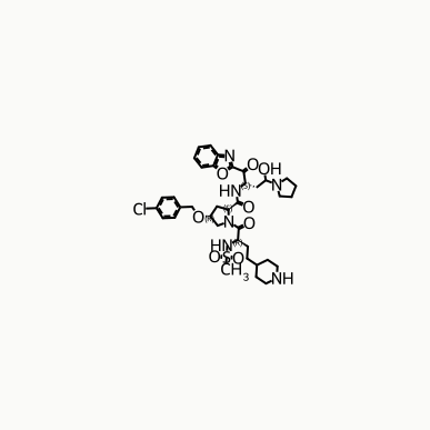 CS(=O)(=O)N[C@H](CCC1CCNCC1)C(=O)N1C[C@H](OCc2ccc(Cl)cc2)C[C@H]1C(=O)N[C@@H](CC(O)N1CCCC1)C(=O)c1nc2ccccc2o1